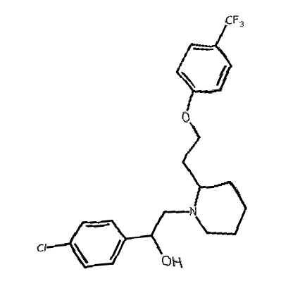 OC(CN1CCCCC1CCOc1ccc(C(F)(F)F)cc1)c1ccc(Cl)cc1